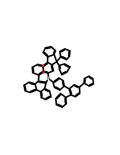 c1ccc(-c2ccc(-c3ccccc3)c(-c3ccc(N(c4ccc5c(c4)C(c4ccccc4)(c4ccccc4)c4ccccc4-5)c4c(-c5ccccc5)c5ccccc5c5ccccc45)cc3)c2)cc1